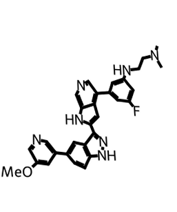 COc1cncc(-c2ccc3[nH]nc(-c4cc5c(-c6cc(F)cc(NCCN(C)C)c6)cncc5[nH]4)c3c2)c1